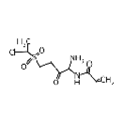 C=CC(=O)NC(N)C(=O)CCS(=O)(=O)C(C)Cl